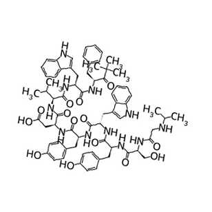 CC(C)NCC(=O)N[C@@H](CO)C(=O)N[C@@H](Cc1ccc(O)cc1)C(=O)N[C@@H](Cc1c[nH]c2ccccc12)C(=O)N[C@@H](Cc1ccc(O)cc1)C(=O)N[C@@H](CC(=O)O)C(=O)N[C@H](C(=O)N[C@@H](Cc1c[nH]c2ccccc12)C(=O)N[C@@H](Cc1ccccc1)C(=O)C(C)(C)C)C(C)C